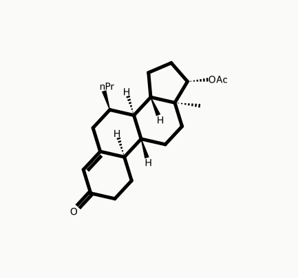 CCC[C@@H]1CC2=CC(=O)CC[C@@H]2[C@H]2CC[C@]3(C)[C@@H](OC(C)=O)CC[C@H]3[C@H]12